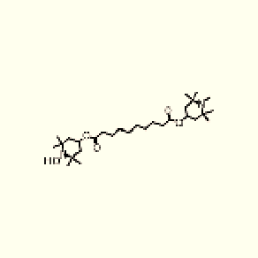 CN1C(C)(C)CC(OC(=O)CCCCCCCCC(=O)OC2CC(C)(C)N(O)C(C)(C)C2)CC1(C)C